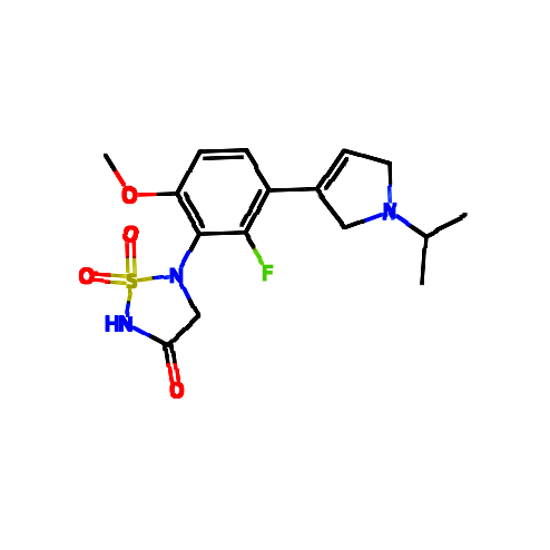 COc1ccc(C2=CCN(C(C)C)C2)c(F)c1N1CC(=O)NS1(=O)=O